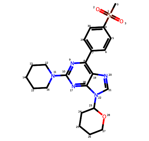 CS(=O)(=O)c1ccc(-c2nc(N3CCCCC3)nc3c2ncn3C2CCCCO2)cc1